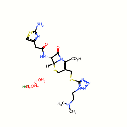 CN(C)CCn1nnnc1SCC1=C(C(=O)O)N2C(=O)[C@@H](NC(=O)Cc3csc(N)n3)[C@H]2SC1.Cl.O.O.O